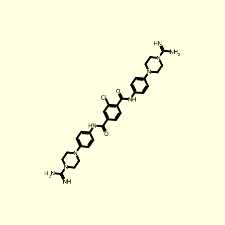 N=C(N)N1CCN(c2ccc(NC(=O)c3ccc(C(=O)Nc4ccc(N5CCN(C(=N)N)CC5)cc4)c(Cl)c3)cc2)CC1